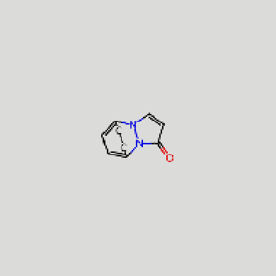 O=c1ccn2c3ccc(n12)CC3